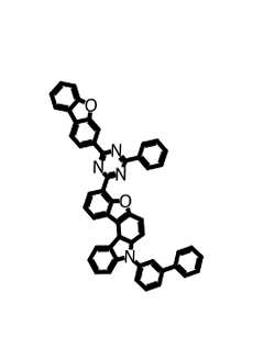 C1=CC2C(c3ccccc3N2c2cccc(-c3ccccc3)c2)c2c1oc1c(-c3nc(-c4ccccc4)nc(-c4ccc5c(c4)oc4ccccc45)n3)cccc21